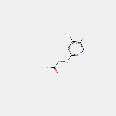 CNC(=O)CNc1cc(O)c(Cl)cn1